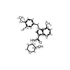 COc1ccc(Cn2cc(C(=O)N[C@H]3CCOC[C@@H]3O)c3nccc(C)c32)cc1F